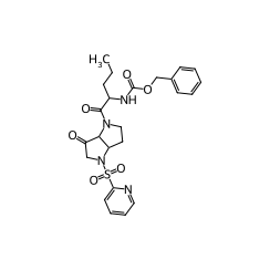 CCCC(NC(=O)OCc1ccccc1)C(=O)N1CCC2C1C(=O)CN2S(=O)(=O)c1ccccn1